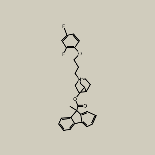 CC1(C(=O)OC2C[N+]3(CCCOc4ccc(F)cc4F)CCC2CC3)c2ccccc2-c2ccccc21